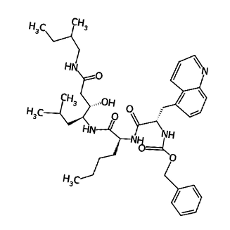 CCCC[C@H](NC(=O)[C@H](Cc1cccc2ncccc12)NC(=O)OCc1ccccc1)C(=O)N[C@@H](CC(C)C)[C@@H](O)CC(=O)NCC(C)CC